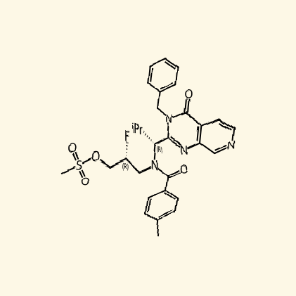 Cc1ccc(C(=O)N(C[C@@H](F)COS(C)(=O)=O)[C@@H](c2nc3cnccc3c(=O)n2Cc2ccccc2)C(C)C)cc1